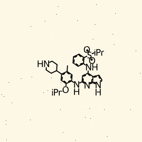 Cc1cc(Nc2cc(Nc3ccccc3S(=O)(=O)C(C)C)c3cc[nH]c3n2)c(OC(C)C)cc1C1CCNCC1